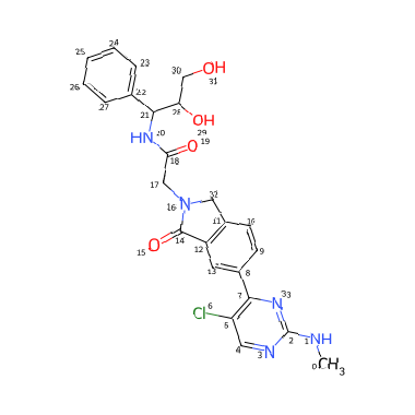 CNc1ncc(Cl)c(-c2ccc3c(c2)C(=O)N(CC(=O)NC(c2ccccc2)C(O)CO)C3)n1